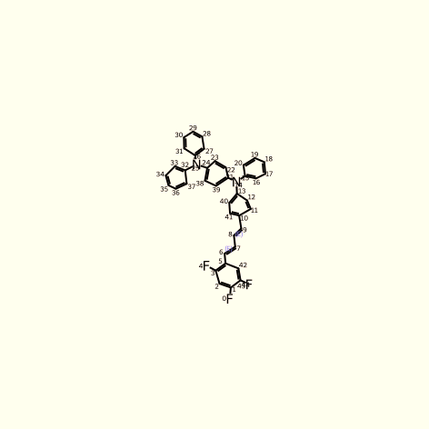 Fc1cc(F)c(/C=C/C=C/c2ccc(N(c3ccccc3)c3ccc(N(c4ccccc4)c4ccccc4)cc3)cc2)cc1F